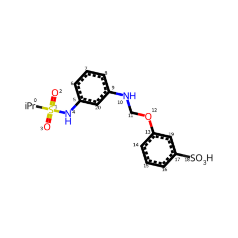 CC(C)S(=O)(=O)Nc1cccc(NCOc2cccc(S(=O)(=O)O)c2)c1